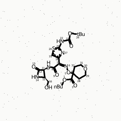 CCCCOC(=O)C1(O/N=C(\C(=O)N[C@@H]2C(=O)N[C@@H]2CO)c2csc(NC(=O)OC(C)(C)C)n2)CCOCC1